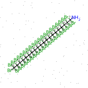 NC(Br)(Br)C(Br)(Br)C(Br)(Br)C(Br)(Br)C(Br)(Br)C(Br)(Br)C(Br)(Br)C(Br)(Br)C(Br)(Br)C(Br)(Br)C(Br)(Br)C(Br)(Br)C(Br)(Br)C(Br)(Br)C(Br)(Br)C(Br)(Br)C(Br)(Br)C(Br)(Br)C(Br)(Br)C(Br)(Br)Br